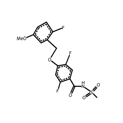 COc1ccc(F)c(COc2cc(F)c(C(=O)NS(C)(=O)=O)cc2F)c1